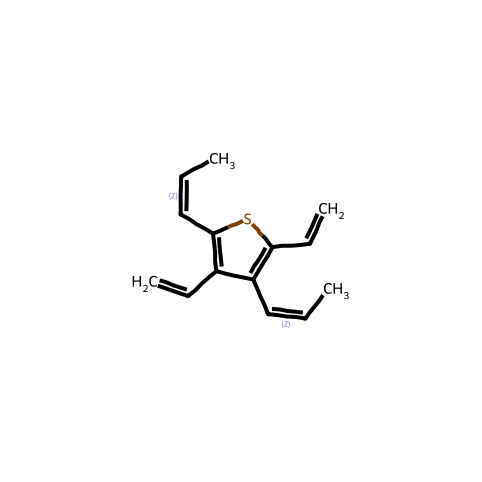 C=Cc1sc(/C=C\C)c(C=C)c1/C=C\C